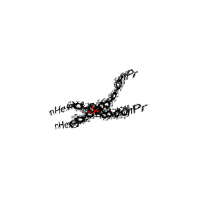 CCCCCCOc1ccc(-c2ccc(C(=O)Oc3ccc4cc(-c5ccc(C6CCC(CCC)CC6)cc5)ccc4c3-c3c(OC(=O)c4ccc(-c5ccc(OCCCCCC)cc5)cc4)ccc4cc(-c5ccc(C6CCC(CCC)CC6)cc5)ccc34)cc2)cc1